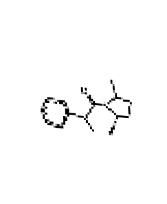 CC(C(=O)N1C(C)CC[C@H]1C)c1ccccc1